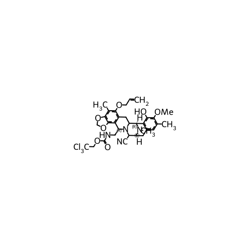 C=CCOc1c(C)c2c(c3c1CC1[C@H]4c5c(cc(C)c(OC)c5O)C[C@@H](C(C#N)N1[C@H]3CNC(=O)OCC(Cl)(Cl)Cl)N4C)OCO2